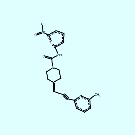 Cc1cccc(C#CC=C2CCN(C(=O)Nc3cccc([N+](=O)[O-])c3)CC2)n1